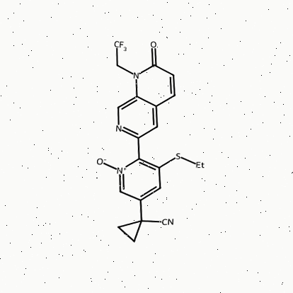 CCSc1cc(C2(C#N)CC2)c[n+]([O-])c1-c1cc2ccc(=O)n(CC(F)(F)F)c2cn1